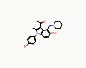 CC(=O)c1c(C)n(-c2ccc(Br)cc2)c2ccc(O)c(CN3CCCCC3)c12